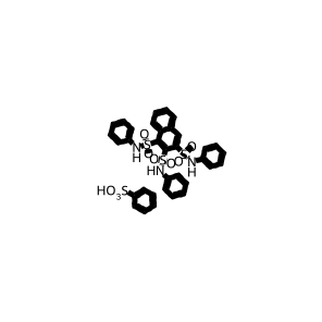 O=S(=O)(Nc1ccccc1)c1cc2ccccc2c(S(=O)(=O)Nc2ccccc2)c1S(=O)(=O)Nc1ccccc1.O=S(=O)(O)c1ccccc1